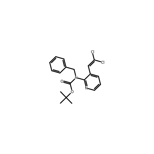 CC(C)(C)OC(=O)N(Cc1ccccc1)c1ncccc1C=C(Cl)Cl